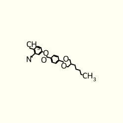 CCCCCC1COC(c2ccc(C(=O)Oc3ccc(CC)c(C#N)c3)cc2)OC1